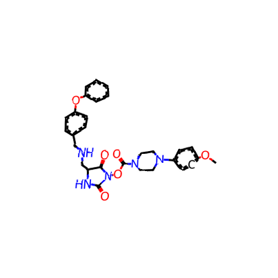 COc1ccc(N2CCN(C(=O)ON3C(=O)NC(CNCc4ccc(Oc5ccccc5)cc4)C3=O)CC2)cc1